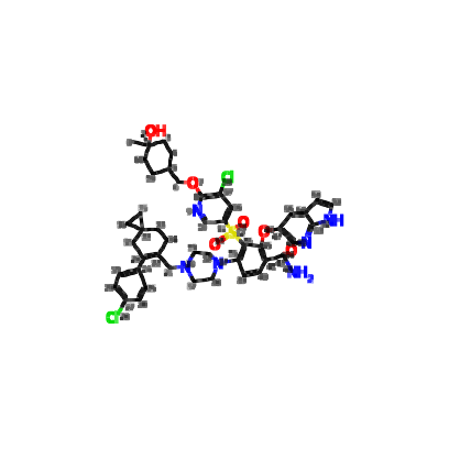 CC1(O)CCC(COc2ncc(S(=O)(=O)c3c(N4CCN(CC5=C(c6ccc(Cl)cc6)CC6(CC5)CC6)CC4)ccc(C(N)=O)c3Oc3cnc4[nH]ccc4c3)cc2Cl)CC1